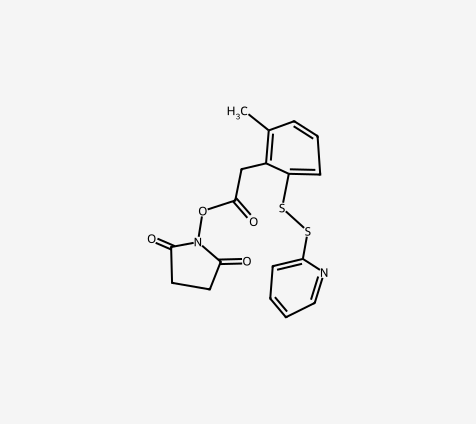 Cc1cccc(SSc2ccccn2)c1CC(=O)ON1C(=O)CCC1=O